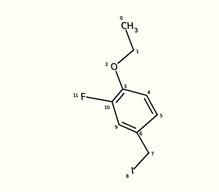 CCOc1ccc(CI)cc1F